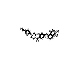 N#Cc1ccc(N2CCN(C(=O)c3ccc(Cc4cccc5c(=O)[nH]ncc45)cc3)CC2)nc1